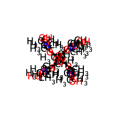 CC(C)(O)CON1C(C)(C)CC(OCCC[Si]2(C)O[Si](C)(CCCOC3CC(C)(C)N(OCC(C)(C)O)C(C)(C)C3)O[Si](C)(CCCOC3CC(C)(C)N(OCC(C)(C)O)C(C)(C)C3)O[Si](C)(CCCOC3CC(C)(C)N(OCC(C)(C)O)C(C)(C)C3)O2)CC1(C)C